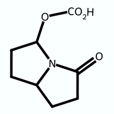 O=C(O)OC1CCC2CCC(=O)N21